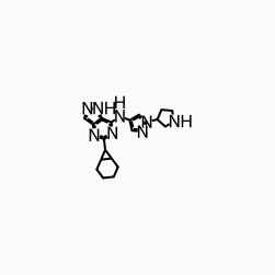 c1nn(C2CCNC2)cc1Nc1nc(C2C3CCCCC32)nc2cn[nH]c12